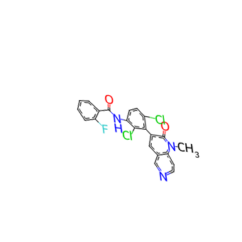 Cn1c(=O)c(-c2c(Cl)ccc(NC(=O)c3ccccc3F)c2Cl)cc2cnccc21